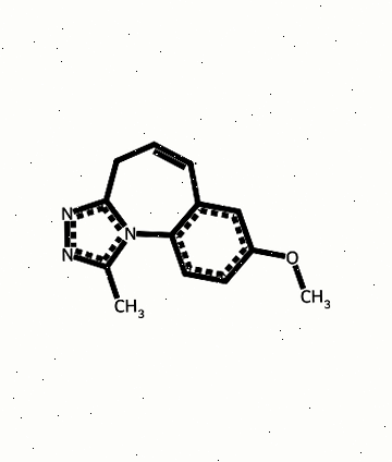 COc1ccc2c(c1)[C]=CCc1nnc(C)n1-2